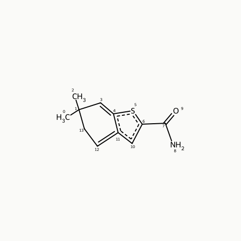 CC1(C)C=c2sc(C(N)=O)cc2=CC1